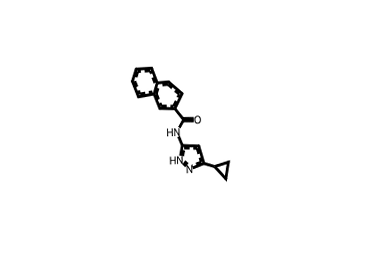 O=C(Nc1cc(C2CC2)n[nH]1)c1ccc2ccccc2c1